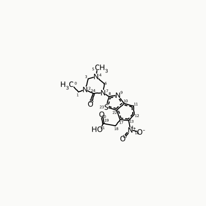 CCN1CN(C)CN(c2nc3ccc([N+](=O)[O-])c(CC(=O)O)c3s2)C1=O